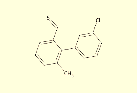 Cc1cccc(C=S)c1-c1cccc(Cl)c1